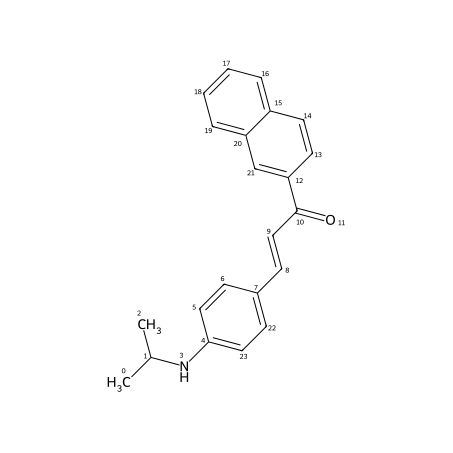 CC(C)Nc1ccc(C=CC(=O)c2ccc3ccccc3c2)cc1